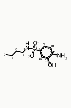 CCCCNS(=O)(=O)c1ccc(N)c(O)c1